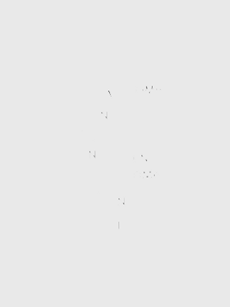 COC[C@H](C)n1cc(C)c2nc(-c3ccc(C(C)C)nc3OC)c(C#N)cc21